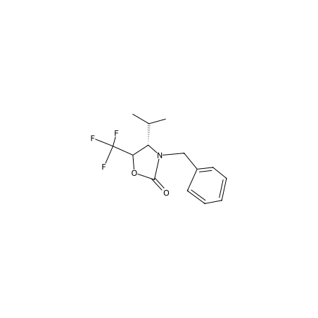 CC(C)[C@H]1C(C(F)(F)F)OC(=O)N1Cc1ccccc1